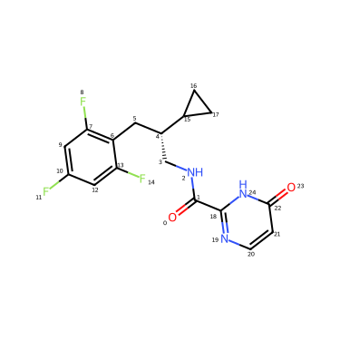 O=C(NC[C@H](Cc1c(F)cc(F)cc1F)C1CC1)c1nccc(=O)[nH]1